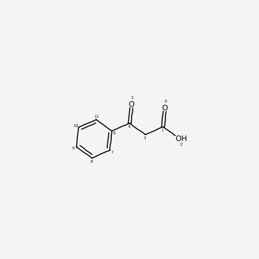 O=C(O)CC(=O)c1cc[c]cc1